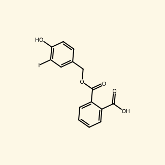 O=C(O)c1ccccc1C(=O)OCc1ccc(O)c(I)c1